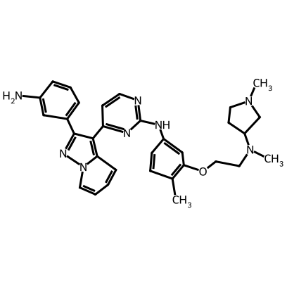 Cc1ccc(Nc2nccc(-c3c(-c4cccc(N)c4)nn4ccccc34)n2)cc1OCCN(C)C1CCN(C)C1